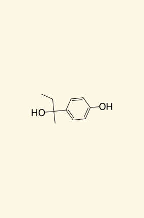 CCC(C)(O)c1ccc(O)cc1